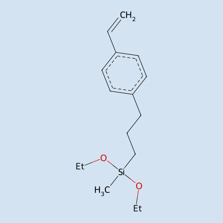 C=Cc1ccc(CCC[Si](C)(OCC)OCC)cc1